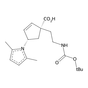 Cc1ccc(C)n1[C@@H]1C=C[C@](CCNC(=O)OC(C)(C)C)(C(=O)O)C1